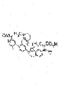 COc1cc(-c2ccc([C@@H]3CCc4ccc([C@H](C5CC5)[C@H](C)C(=O)O)cc4O3)cc2CN2[C@H](C)CCC[C@@H]2C)c(F)cn1